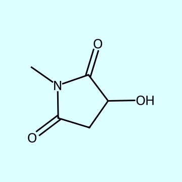 CN1C(=O)CC(O)C1=O